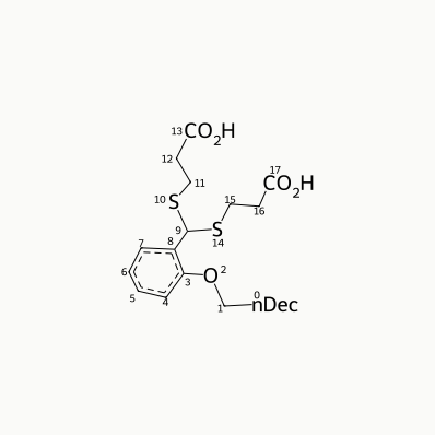 CCCCCCCCCCCOc1ccccc1C(SCCC(=O)O)SCCC(=O)O